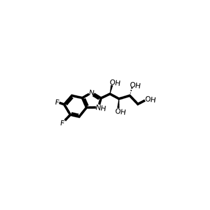 OC[C@@H](O)[C@@H](O)[C@H](O)c1nc2cc(F)c(F)cc2[nH]1